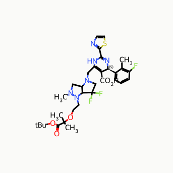 Cc1c(F)cccc1[C@@H]1N=C(c2nccs2)NC(CN2CC(F)(F)C3C2CN(C)N3CCOC(C)(C)C(=O)OC(C)(C)C)=C1C(=O)O